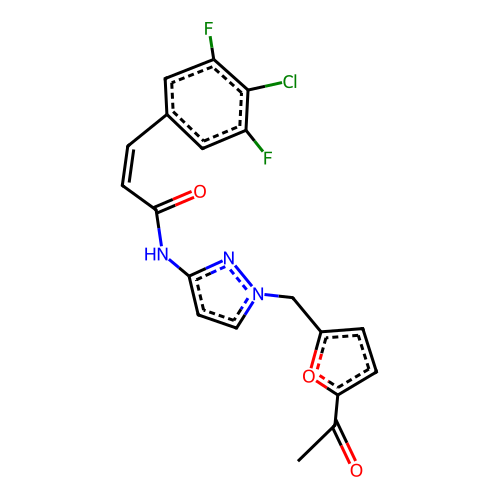 CC(=O)c1ccc(Cn2ccc(NC(=O)/C=C\c3cc(F)c(Cl)c(F)c3)n2)o1